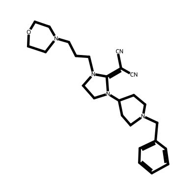 N#CC(C#N)=C1N(CCCN2CCOCC2)CCN1C1CCN(Cc2ccccc2)CC1